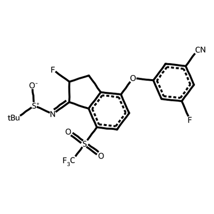 CC(C)(C)[S+]([O-])N=C1c2c(S(=O)(=O)C(F)(F)F)ccc(Oc3cc(F)cc(C#N)c3)c2CC1F